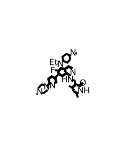 CCN(c1c(F)c(-c2ccc(N3CCN(C)CC3)nc2)cc2c(NCc3c(C)cc(C)[nH]c3=O)nccc12)C1CCC(N(C)C)CC1